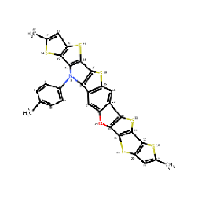 Cc1ccc(-n2c3c4cc5oc6c(sc7c8sc(C)cc8sc67)c5cc4sc3c3sc4cc(C)sc4c32)cc1